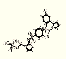 Cn1nccc1-c1cc(Cl)ccc1Oc1ccc(S(=O)(=O)N=c2sccn2COP(=O)(O)O)cc1C#N